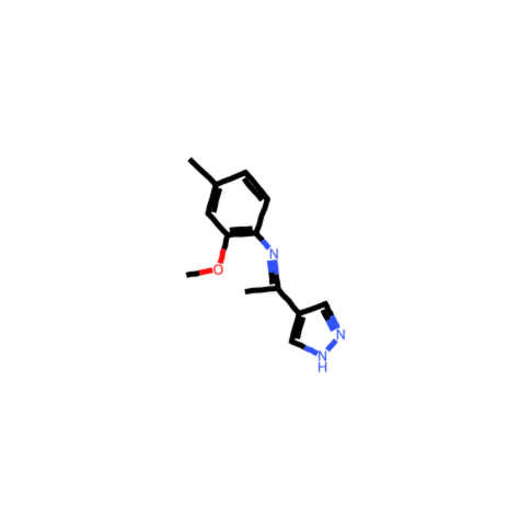 COc1cc(C)ccc1N=C(C)c1cn[nH]c1